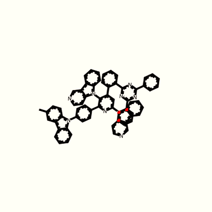 Cc1ccc2c(c1)c1ccccc1n2-c1ccc(-c2nc(-n3c4ccccc4c4cnccc43)cc(-c3ccccc3-c3nc(-c4ccccc4)nc(-c4ccccc4)n3)c2-n2c3ccccc3c3cnccc32)cc1